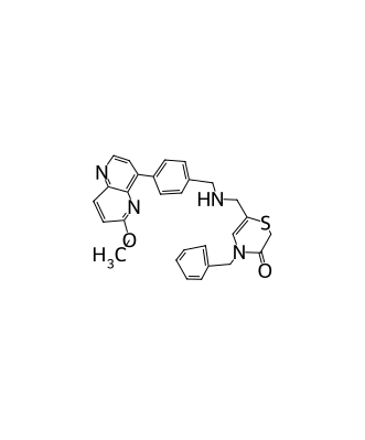 COc1ccc2nccc(-c3ccc(CNCC4=CN(Cc5ccccc5)C(=O)CS4)cc3)c2n1